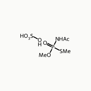 COP(=O)(NC(C)=O)SC.O=S(=O)(O)O